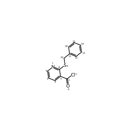 O=C(Cl)c1cccnc1SCc1ccccc1